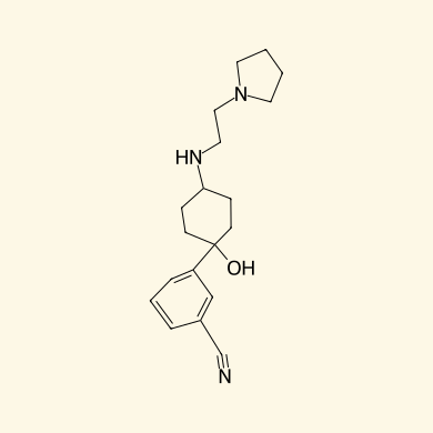 N#Cc1cccc(C2(O)CCC(NCCN3CCCC3)CC2)c1